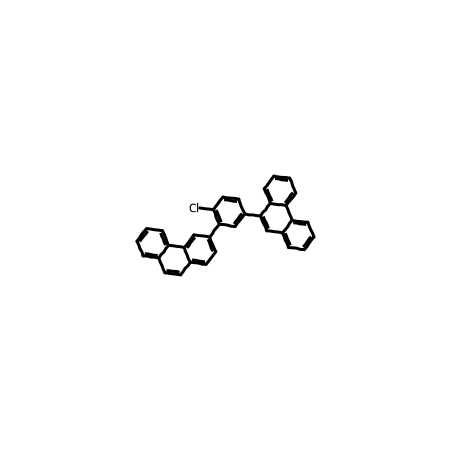 Clc1ccc(-c2cc3ccccc3c3ccccc23)cc1-c1ccc2ccc3ccccc3c2c1